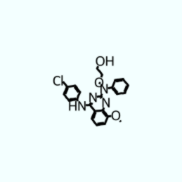 COc1cccc2c(Nc3ccc(Cl)cc3)nc(N(OCCO)c3ccccc3)nc12